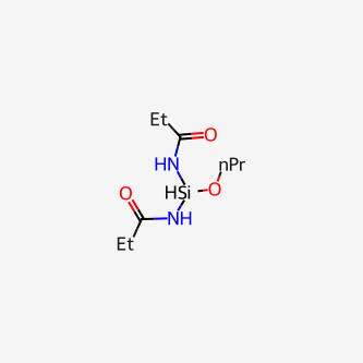 CCCO[SiH](NC(=O)CC)NC(=O)CC